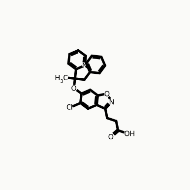 CC(Cc1ccccc1)(Oc1cc2onc(CCC(=O)O)c2cc1Cl)c1ccccn1